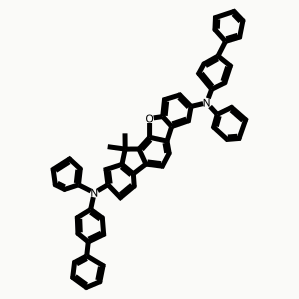 CC1(C)c2cc(N(c3ccccc3)c3ccc(-c4ccccc4)cc3)ccc2-c2ccc3c(oc4ccc(N(c5ccccc5)c5ccc(-c6ccccc6)cc5)cc43)c21